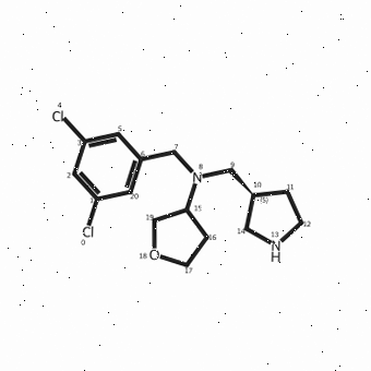 Clc1cc(Cl)cc(CN(C[C@H]2CCNC2)C2CCOC2)c1